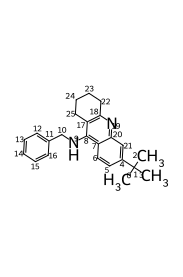 CC(C)(C)c1ccc2c(NCc3ccccc3)c3c(nc2c1)CCCC3